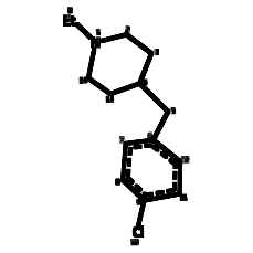 CCN1CCC(Cc2ccc(Cl)cc2)CC1